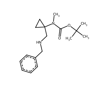 CN(C(=O)OC(C)(C)C)C1(CNCc2ccccc2)CC1